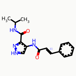 CC(C)NC(=O)c1n[nH]cc1NC(=O)/C=C/c1ccccc1